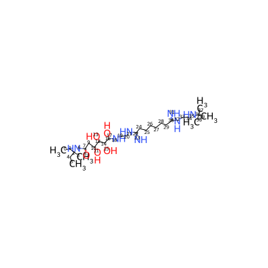 CCC(C)(CC)NC(=O)C[C@H](O)[C@@H](O)[C@@H](O)[C@H](O)NCCNC(=N)CCCCCCC(=N)NCCNC(C)(C)C